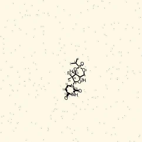 CC(C)P1(=O)OC[C@H]2O[C@@H](n3ccc(=O)[nH]c3=O)[C@](C)(F)[C@@H]2O1